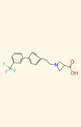 O=C(O)C1CN(CCc2ccc(-c3cccc(C(F)(F)F)c3)cc2)C1